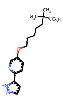 CC(C)(CCCCCOc1ccc(-c2ccn[nH]2)nc1)C(=O)O